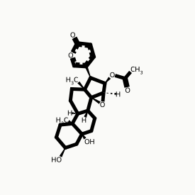 CC(=O)O[C@H]1[C@H]2O[C@]23[C@@H]2CC[C@]4(O)C[C@@H](O)CC[C@]4(C)[C@H]2CC[C@]3(C)[C@H]1c1ccc(=O)oc1